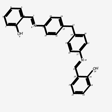 Oc1ccccc1C=Nc1ccc(Cc2ccc(N=Cc3ccccc3O)cc2)cc1